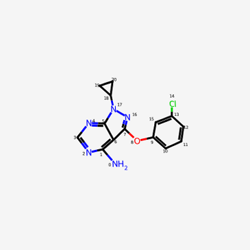 Nc1ncnc2c1c(Oc1cccc(Cl)c1)nn2C1CC1